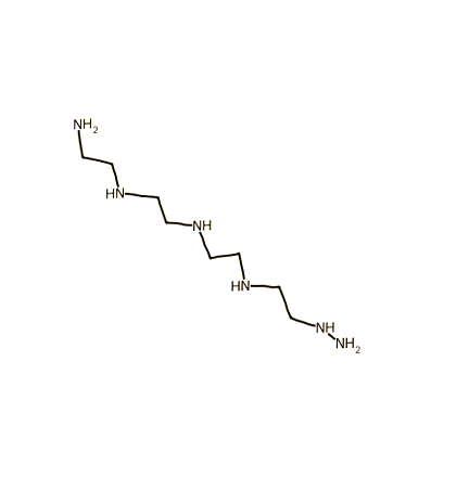 NCCNCCNCCNCCNN